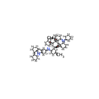 Cc1ccc2c(c1)C1(c3cc(C)ccc3N2c2ccc3c(c2)c2cccc4c5ccccc5n3c42)c2ccccc2C2(c3ccccc3N(c3ccccc3)c3ccccc32)c2ccccc21